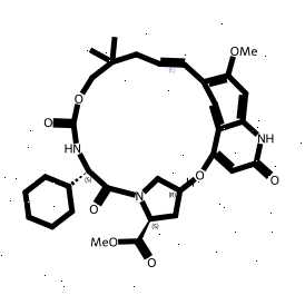 COC(=O)[C@@H]1C[C@@H]2CN1C(=O)[C@H](C1CCCCC1)NC(=O)OCC(C)(C)C/C=C/c1cc3c(cc(=O)[nH]c3cc1OC)O2